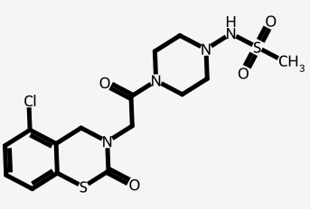 CS(=O)(=O)NN1CCN(C(=O)CN2Cc3c(Cl)cccc3SC2=O)CC1